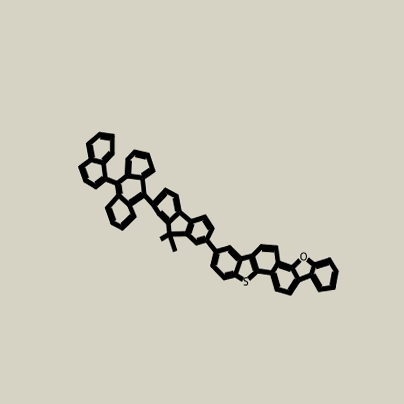 CC1(C)c2cc(-c3ccc4sc5c(ccc6c5ccc5c7ccccc7oc56)c4c3)ccc2-c2ccc(-c3c4ccccc4c(-c4cccc5ccccc45)c4ccccc34)cc21